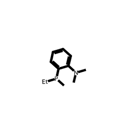 CCP(C)c1ccccc1N(C)C